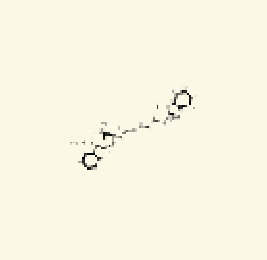 CO[C@@]1(c2ccccc2)C[C@@H]2CC[C@H]1C[C@]2(O)CCNCCCCc1nc2ccccc2[nH]1